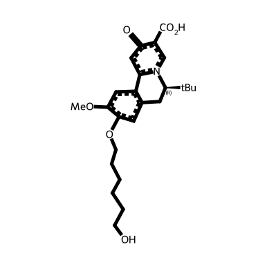 COc1cc2c(cc1OCCCCCCO)C[C@H](C(C)(C)C)n1cc(C(=O)O)c(=O)cc1-2